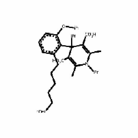 CCCCCCCCCCCCCCCc1cccc(OC(C)C)c1C1(C(C)C)C(C(=O)O)=C(C)N(C(C)C)C(C)=C1C(=O)O